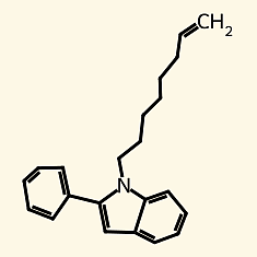 C=CCCCCCCn1c(-c2ccccc2)cc2ccccc21